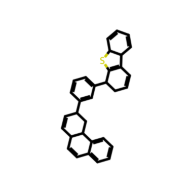 C1=CC2SC3=C(C=CCC3c3cccc(C4C=CC5C=Cc6ccccc6C5C4)c3)C2C=C1